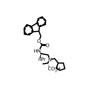 CCC[C@H](CN(CC1CCCC1)[C@@H](C)C(=O)O)NC(=O)OCC1c2ccccc2-c2ccccc21